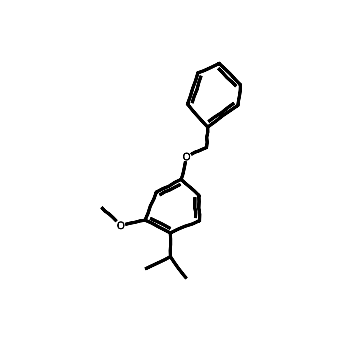 COc1cc(OCc2ccccc2)ccc1C(C)C